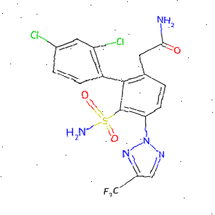 NC(=O)Cc1ccc(-n2ncc(C(F)(F)F)n2)c(S(N)(=O)=O)c1-c1ccc(Cl)cc1Cl